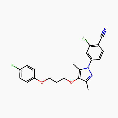 Cc1nn(-c2ccc(C#N)c(Cl)c2)c(C)c1OCCCOc1ccc(F)cc1